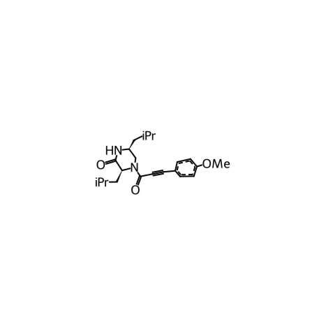 COc1ccc(C#CC(=O)N2C[C@H](CC(C)C)NC(=O)[C@@H]2CC(C)C)cc1